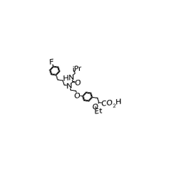 CCOC(Cc1ccc(OCCN(CCCc2ccc(F)cc2)C(=O)NCC(C)C)cc1)C(=O)O